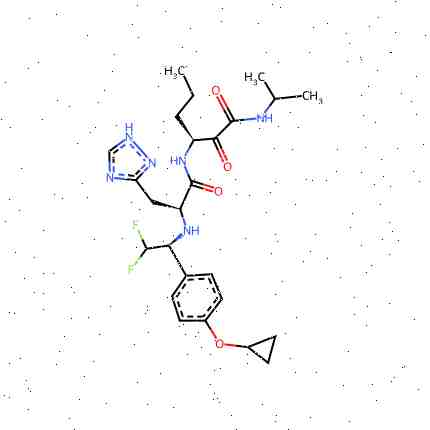 CCC[C@H](NC(=O)[C@H](Cc1nc[nH]n1)N[C@@H](c1ccc(OC2CC2)cc1)C(F)F)C(=O)C(=O)NC(C)C